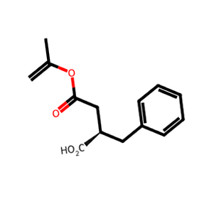 C=C(C)OC(=O)C[C@@H](Cc1ccccc1)C(=O)O